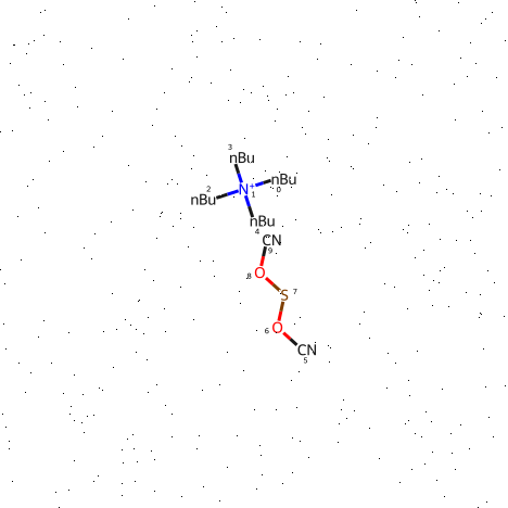 CCCC[N+](CCCC)(CCCC)CCCC.N#COSOC#N